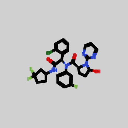 O=C(NC1CCC(F)(F)C1)[C@H](c1ccccc1Cl)N(C(=O)[C@@H]1CCC(O)N1c1ncccn1)c1cccc(F)c1